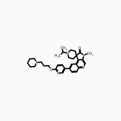 CC(C)N1CCC2(CC1)C(=O)N(C)c1cnc3ccc(-c4ccc(OCCCN5CCCCC5)nc4)cc3c12